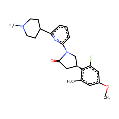 COc1cc(C)c([C@H]2CC(=O)N(c3cccc(C4CCN(C)CC4)n3)C2)c(F)c1